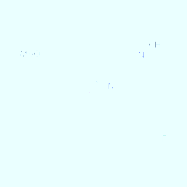 COc1ccc(CC(=O)N(CCc2cccc(F)c2)C2CCN(C)CC2)cc1